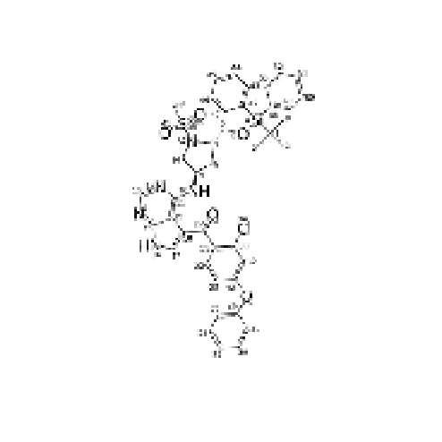 CC(C)(C)[Si](OC[C@@H]1C[C@@H](Nc2ncnc3[nH]cc(C(=O)c4ccc(Oc5ccccc5)cc4Cl)c23)CN1S(C)(=O)=O)(c1ccccc1)c1ccccc1